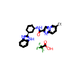 CCc1ccc2nc(C(=O)N[C@@H]3CCC[C@H](c4nc5ccccc5[nH]4)C3)cn2c1.O=C(O)C(F)(F)F